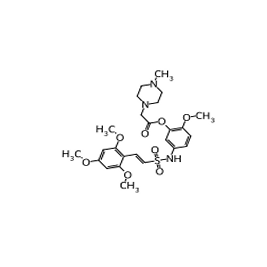 COc1cc(OC)c(C=CS(=O)(=O)Nc2ccc(OC)c(OC(=O)CN3CCN(C)CC3)c2)c(OC)c1